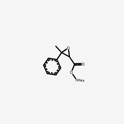 CCCCCCOC(=O)C1OC1(C)c1ccccc1